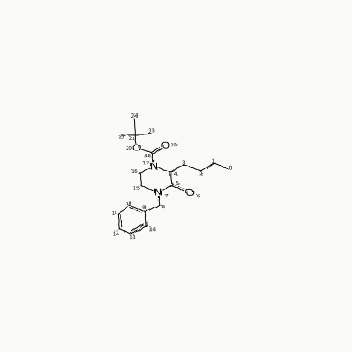 CCCCC1C(=O)N(Cc2ccccc2)CCN1C(=O)OC(C)(C)C